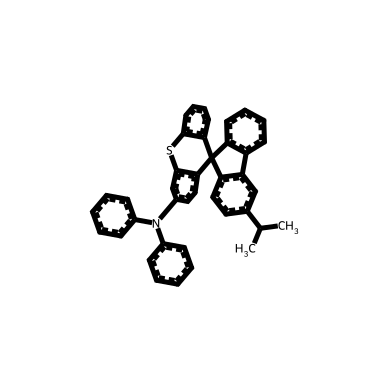 CC(C)c1ccc2c(c1)-c1ccccc1C21c2ccccc2Sc2cc(N(c3ccccc3)c3ccccc3)ccc21